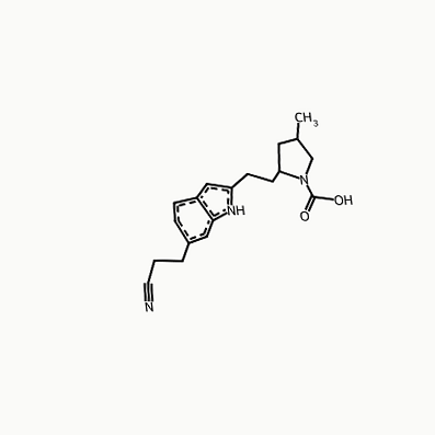 CC1CC(CCc2cc3ccc(CCC#N)cc3[nH]2)N(C(=O)O)C1